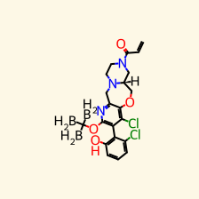 BC(B)(B)Oc1nc2c(c(Cl)c1-c1c(O)cccc1Cl)OC[C@H]1CN(C(=O)C=C)CCN1C2